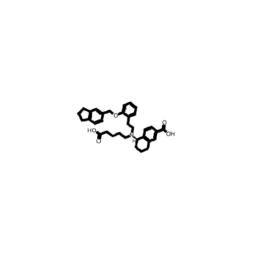 O=C(O)CCCCN(CCc1ccccc1OCc1ccc2c(c1)CCC2)[C@@H]1CCCc2cc(C(=O)O)ccc21